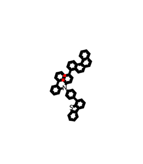 c1ccc(-c2ccccc2N(c2ccc(-c3cccc4c3ccc3ccc5ccccc5c34)cc2)c2ccc(-c3cccc4c3sc3ccccc34)cc2)cc1